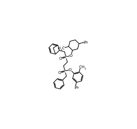 Cc1ccc(C(C)C)cc1OP(=O)(CCP(=O)(CC1C2=CC=CC1C2)OC1CC(C(C)C)CCC1C)Cc1ccccc1